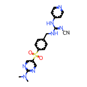 CN(C)c1ncc(S(=O)(=O)c2ccc(CN/C(=N\C#N)Nc3ccncc3)cc2)cn1